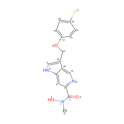 CCN(O)C(=O)c1cc2[nH]cc(COc3ccc(F)cc3)c2cn1